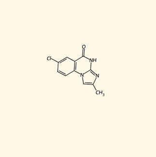 Cc1cn2c(n1)[nH]c(=O)c1cc(Cl)ccc12